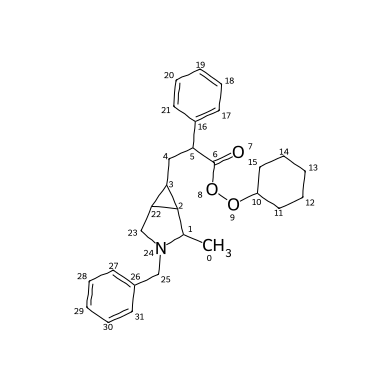 CC1C2C(CC(C(=O)OOC3CCCCC3)c3ccccc3)C2CN1Cc1ccccc1